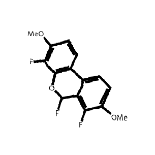 COc1ccc2c(c1F)OC(F)c1c-2ccc(OC)c1F